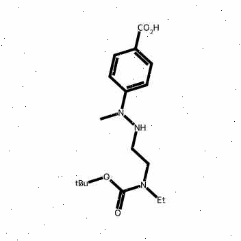 CCN(CCNN(C)c1ccc(C(=O)O)cc1)C(=O)OC(C)(C)C